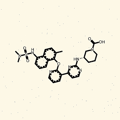 Cc1ccc2c(NS(=O)(=O)N(C)C)cccc2c1Oc1ncccc1-c1ccnc(N[C@H]2CCCN(C(=O)O)C2)n1